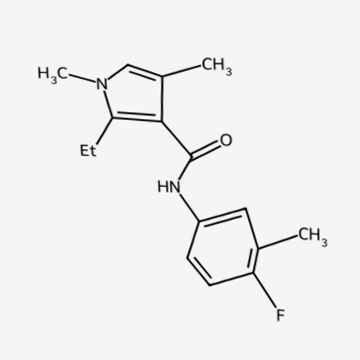 CCc1c(C(=O)Nc2ccc(F)c(C)c2)c(C)cn1C